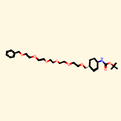 CC(C)(C)OC(=O)N[C@H]1CC[C@H](COCCOCCOCCOCCOCCOCc2ccccc2)CC1